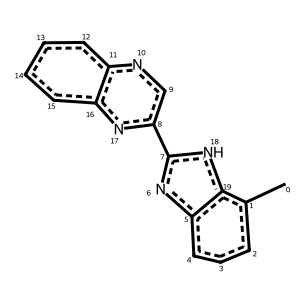 Cc1cccc2nc(-c3cnc4ccccc4n3)[nH]c12